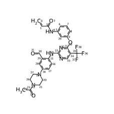 C=CC(=O)Nc1cccc(Oc2nc(Nc3ccc(N4CCN(C(C)=O)CC4)cc3C=O)ncc2C(F)(F)F)c1